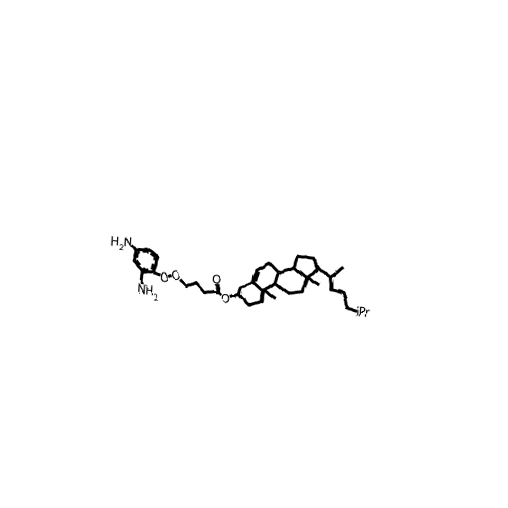 CC(C)CCCC(C)C1CCC2C3CC=C4CC(OC(=O)CCCOOc5ccc(N)cc5N)CCC4(C)C3CCC12C